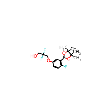 CC1(C)OB(c2cc(OCC(F)(F)CO)ccc2F)OC1(C)C